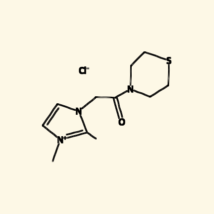 Cc1n(CC(=O)N2CCSCC2)cc[n+]1C.[Cl-]